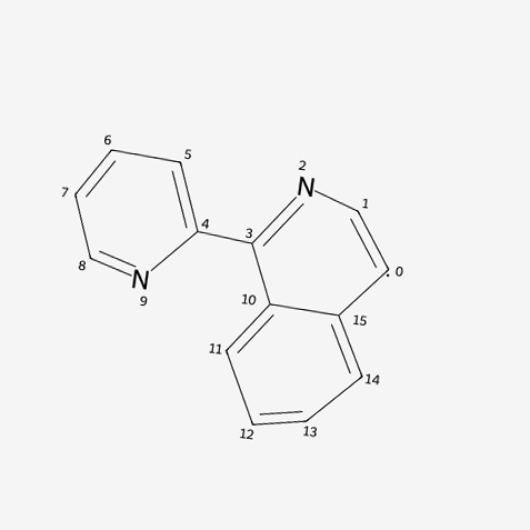 [c]1cnc(-c2ccccn2)c2ccccc12